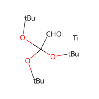 CC(C)(C)OC([C]=O)(OC(C)(C)C)OC(C)(C)C.[Ti]